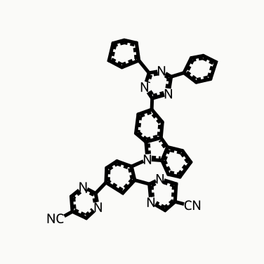 N#Cc1cnc(-c2ccc(-n3c4ccccc4c4cc(-c5nc(-c6ccccc6)nc(-c6ccccc6)n5)ccc43)c(-c3ncc(C#N)cn3)c2)nc1